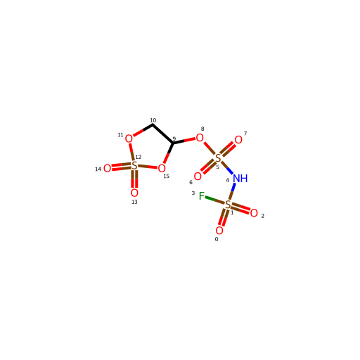 O=S(=O)(F)NS(=O)(=O)OC1COS(=O)(=O)O1